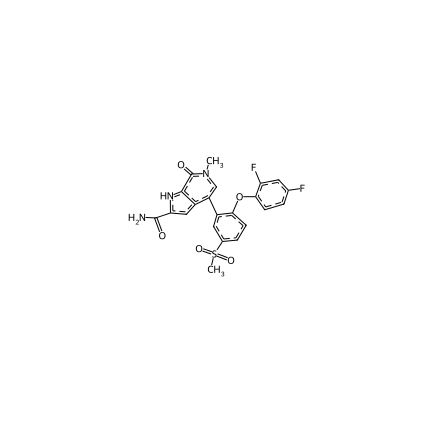 Cn1cc(-c2cc(S(C)(=O)=O)ccc2Oc2ccc(F)cc2F)c2cc(C(N)=O)[nH]c2c1=O